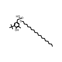 CCCCCCCCCCCCCCCCCCOP(=O)(O)Cc1cc(C)c(O)c(C(C)(C)C)c1